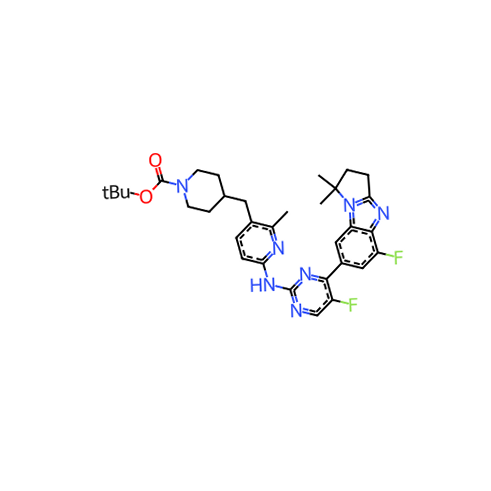 Cc1nc(Nc2ncc(F)c(-c3cc(F)c4nc5n(c4c3)C(C)(C)CC5)n2)ccc1CC1CCN(C(=O)OC(C)(C)C)CC1